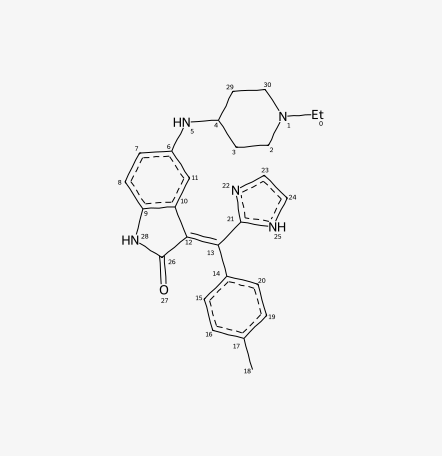 CCN1CCC(Nc2ccc3c(c2)C(=C(c2ccc(C)cc2)c2ncc[nH]2)C(=O)N3)CC1